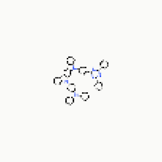 c1ccc(-c2nc(-c3ccccc3)nc(-c3ccc(-n4c5ccccc5c5cc6c7ccccc7n(-c7ccc8c(c7)c7ccccc7n8-c7ccccc7)c6cc54)cc3)n2)cc1